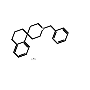 Cl.c1ccc(CN2CCC3(CCCc4ccccc43)CC2)cc1